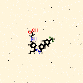 CCCC(c1ccc(CNCCC(=O)O)cc1)n1ncc2cc(-c3ccc(C(F)(F)F)cc3C)ccc21